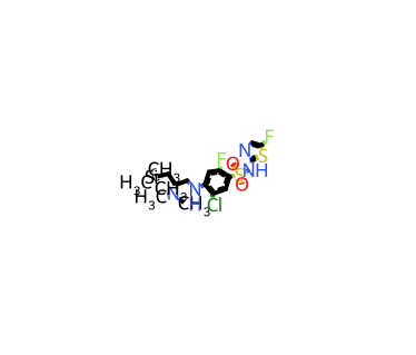 CN(C)C(CNc1cc(F)c(S(=O)(=O)Nc2ncc(F)s2)cc1Cl)C[Si](C)(C)C